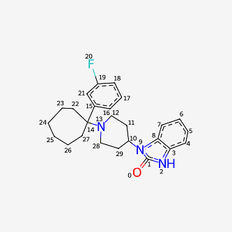 O=c1[nH]c2ccccc2n1C1CCN(C2(c3cccc(F)c3)CCCCCC2)CC1